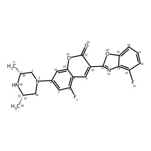 C[C@@H]1CN(c2cc(F)c3cc(-c4nc5c(F)cccc5o4)c(=O)oc3c2)C[C@H](C)N1